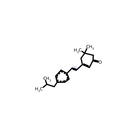 CC(C)Cc1ccc(/C=C/C2=CC(=O)CC(C)(C)C2)cc1